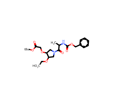 CC(NC(=O)OCc1ccccc1)C(=O)N1CC(OCC(=O)O)C(OCC(=O)OC(C)(C)C)C1